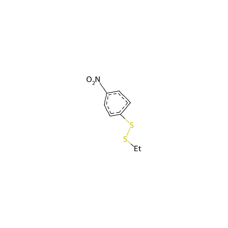 [CH2]CSSc1ccc([N+](=O)[O-])cc1